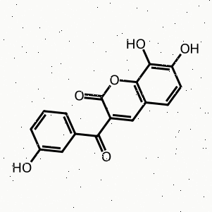 O=C(c1cccc(O)c1)c1cc2ccc(O)c(O)c2oc1=O